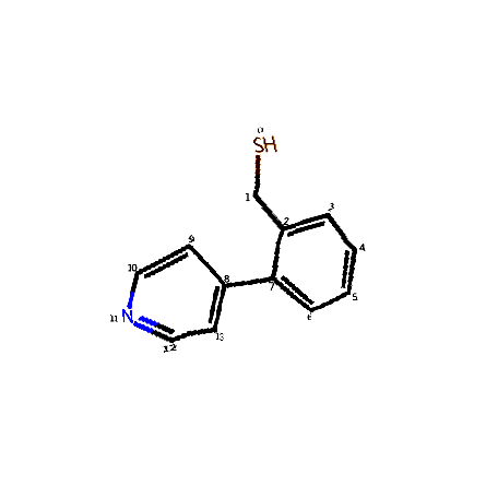 SCc1ccccc1-c1ccncc1